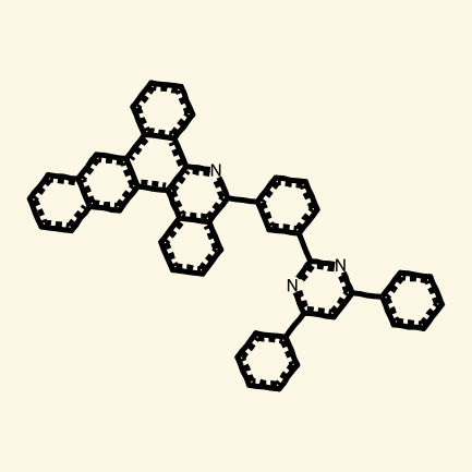 c1ccc(-c2cc(-c3ccccc3)nc(-c3cccc(-c4nc5c6ccccc6c6cc7ccccc7cc6c5c5ccccc45)c3)n2)cc1